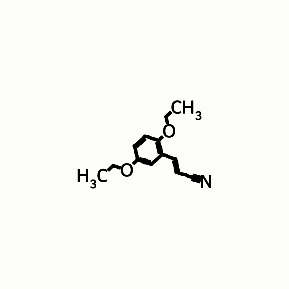 CCOc1ccc(OCC)c(/C=C/C#N)c1